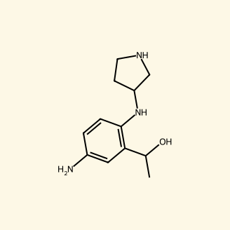 CC(O)c1cc(N)ccc1NC1CCNC1